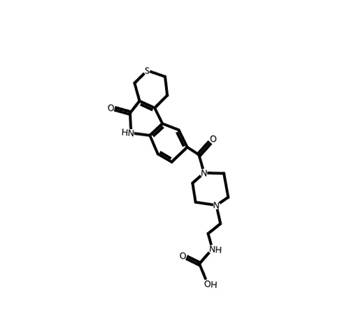 O=C(O)NCCN1CCN(C(=O)c2ccc3[nH]c(=O)c4c(c3c2)CCSC4)CC1